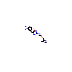 Cc1[nH]cnc1CSCCNc1nc(=O)c(Cc2cccc(N(C)C)c2)n[nH]1